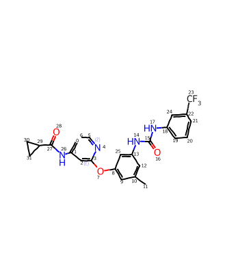 C=C(/C=C(\N=C/C)Oc1cc(C)cc(NC(=O)Nc2cccc(C(F)(F)F)c2)c1)NC(=O)C1CC1